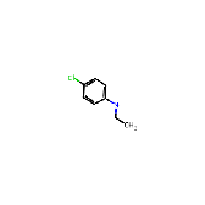 CC[N]c1ccc(Cl)cc1